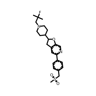 CC(C)(F)CN1CCC(C2Cc3cc(-c4ccc(CS(C)(=O)=O)cc4)ncc3O2)CC1